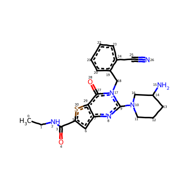 CCNC(=O)c1cc2nc(N3CCCC(N)C3)n(Cc3ccccc3C#N)c(=O)c2s1